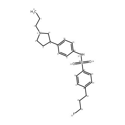 CCCN1CCC(c2ccc(NS(=O)(=O)c3ccc(CCCF)cc3)cc2)C1